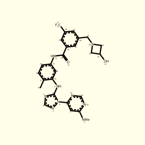 CNc1cc(-n2ncnc2Nc2cc(NC(=O)c3cc(CN4CC(O)C4)cc(C(F)(F)F)c3)ccc2C)ncn1